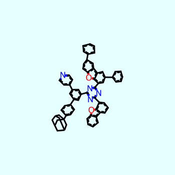 c1ccc(-c2ccc3oc4c(-c5nc(-c6cc(-c7ccncc7)cc(-c7ccc(C89CC%10CC(CC(C%10)C8)C9)cc7)c6)nc(-c6cccc7c6oc6ccccc67)n5)cc(-c5ccccc5)cc4c3c2)cc1